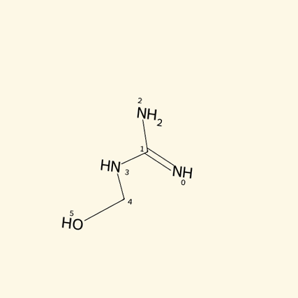 N=C(N)NCO